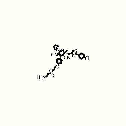 [C-]#[N+]c1c(N2CCCC2)nc(SCc2csc(-c3ccc(Cl)cc3)n2)c(C#N)c1-c1ccc(OCCOC(=O)CCN)cc1